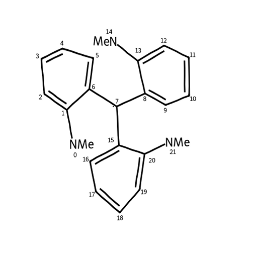 CNc1ccccc1[C](c1ccccc1NC)c1ccccc1NC